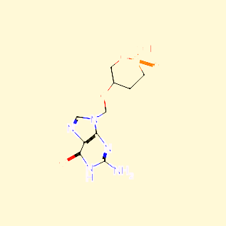 Nc1nc2c(ncn2COC2CCP(O)(=P)OC2)c(=O)[nH]1